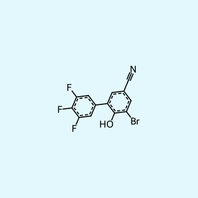 N#Cc1cc(Br)c(O)c(-c2cc(F)c(F)c(F)c2)c1